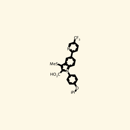 CSc1c(C(=O)O)n(-c2ccc(OC(C)C)cc2)c2ccc(-c3ccc(C(F)(F)F)cn3)cc12